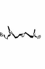 CN(CCOCCN(C)C(C)(C)C)C(C)(C)C